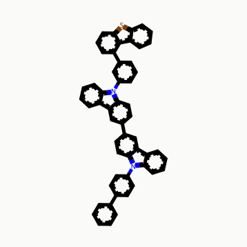 c1ccc(-c2ccc(-n3c4ccccc4c4cc(-c5ccc6c(c5)c5ccccc5n6-c5cccc(-c6cccc7sc8ccccc8c67)c5)ccc43)cc2)cc1